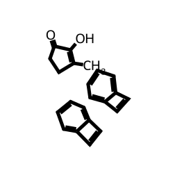 C1=Cc2ccccc21.C1=Cc2ccccc21.CC1=C(O)C(=O)CC1